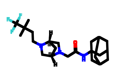 CC(C)(CCN1C[C@@H]2C[C@H]1CN2CC(=O)NC12CC3CC(CC(C3)C1)C2)C(F)(F)F